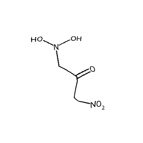 O=C(CN(O)O)C[N+](=O)[O-]